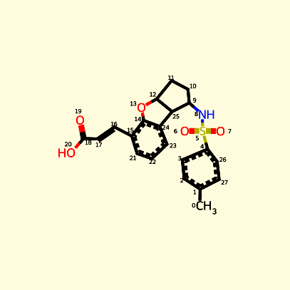 Cc1ccc(S(=O)(=O)NC2CCC3Oc4c(/C=C/C(=O)O)cccc4C23)cc1